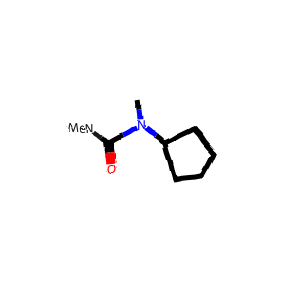 C[N]C(=O)N(C)C1CCCC1